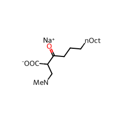 CCCCCCCCCCCC(=O)C(CNC)C(=O)[O-].[Na+]